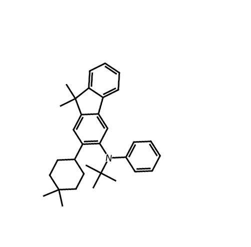 CC1(C)CCC(c2cc3c(cc2N(c2ccccc2)C(C)(C)C)-c2ccccc2C3(C)C)CC1